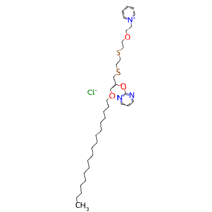 CCCCCCCCCCCCCCCCCCOCC(CSCCSCCOCC[n+]1ccccc1)Oc1ncccn1.[Cl-]